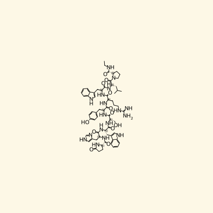 CCNC(=O)[C@@H]1CCCN1C(=O)[C@H](CC(C)C)NC(=O)[C@H](Cc1c[nH]c2ccccc12)NC(=O)[C@@H](CCCNC(=N)N)NC(=O)[C@H](Cc1ccc(O)cc1)NC(=O)[C@H](CO)NC(=O)[C@H](Cc1c[nH]c2ccccc12)NC(=O)[C@H](Cc1c[nH]cn1)NC(=O)[C@@H]1CCC(=O)N1